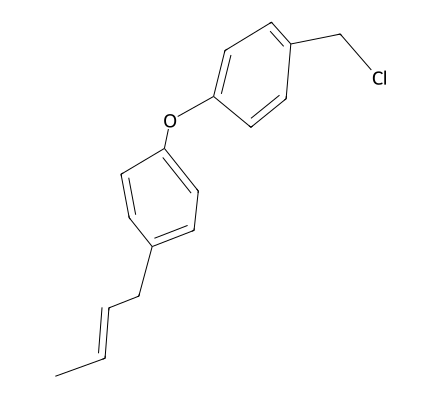 C/C=C/Cc1ccc(Oc2ccc(CCl)cc2)cc1